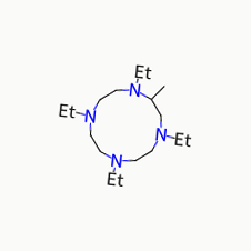 CCN1CCN(CC)CCN(CC)C(C)CN(CC)CC1